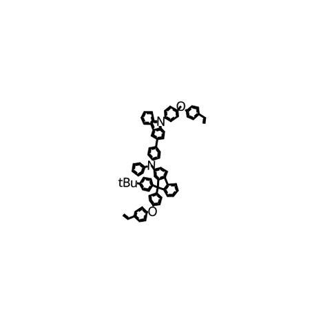 C=Cc1ccc(Oc2ccc(-n3c4ccccc4c4cc(-c5ccc(N(c6ccccc6)c6ccc7c(c6)C(c6ccc(Oc8ccc(C=C)cc8)cc6)(c6ccc(C(C)(C)C)cc6)c6ccccc6-7)cc5)ccc43)cc2)cc1